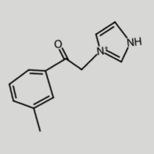 Cc1cccc(C(=O)C[n+]2cc[nH]c2)c1